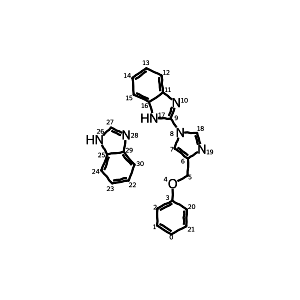 c1ccc(OCc2cn(-c3nc4ccccc4[nH]3)cn2)cc1.c1ccc2[nH]cnc2c1